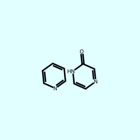 O=c1cncc[nH]1.c1ccncc1